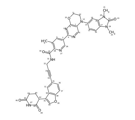 Cc1cc(-c2ncc3c(n2)OCCN3c2ccc3c(c2)n(C)c(=O)n3C)cnc1C(=O)NCC#Cc1ccc2occ(C3CCC(=O)NC3=O)c2c1